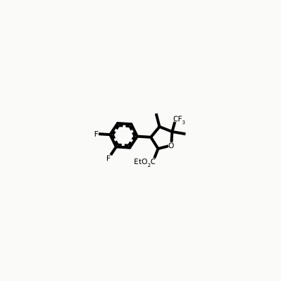 CCOC(=O)C1OC(C)(C(F)(F)F)C(C)C1c1ccc(F)c(F)c1